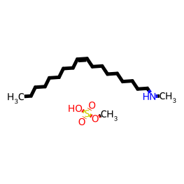 CCCCCCCC/C=C\CCCCCCCCNC.COS(=O)(=O)O